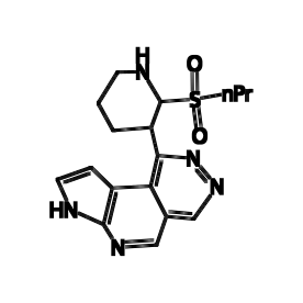 CCCS(=O)(=O)C1NCCCC1c1nncc2cnc3[nH]ccc3c12